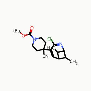 CC1C2C=C(C3(C#N)CCN(C(=O)OC(C)(C)C)CC3)C(Cl)=NC1C2C